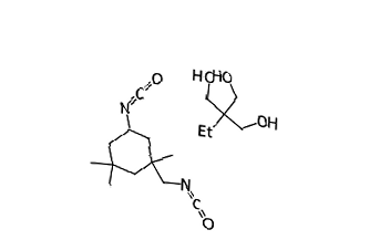 CC1(C)CC(N=C=O)CC(C)(CN=C=O)C1.CCC(CO)(CO)CO